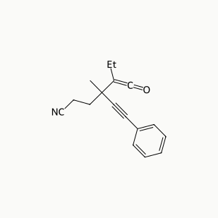 CCC(=C=O)C(C)(C#Cc1ccccc1)CCC#N